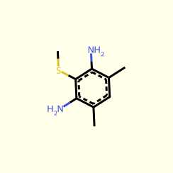 CSc1c(N)c(C)cc(C)c1N